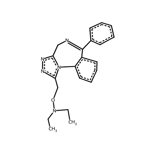 CCN(CC)OCc1nnc2n1-c1ccccc1C(c1ccccc1)=NC2